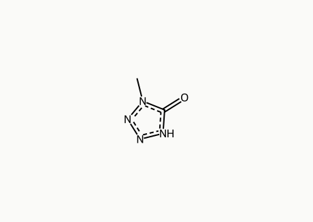 Cn1nn[nH]c1=O